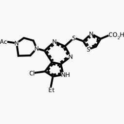 CCc1[nH]c2nc(Sc3nc(C(=O)O)cs3)nc(N3CCN(C(C)=O)CC3)c2c1Cl